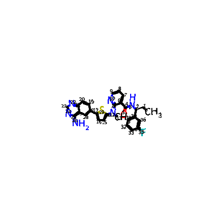 CC[C@H](NC(=O)c1cccnc1N(C)c1ccc(-c2ccc3ncnc(N)c3c2)s1)c1cccc(F)c1